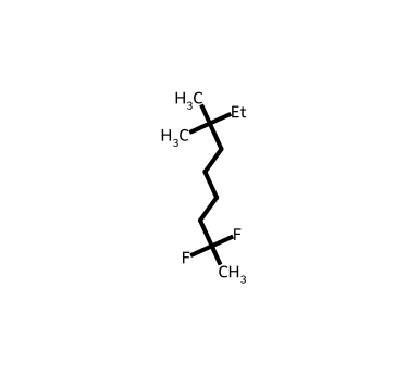 CCC(C)(C)CCCCC(C)(F)F